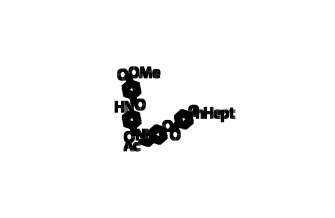 CCCCCCCOc1ccc(C(=O)Oc2ccc(C[C@H](NC(=O)c3ccc(NC(=O)c4ccc(C(=O)OC)cc4)cc3)C(C)=O)cc2)cc1